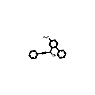 COc1ccc(-c2ccccc2)c(C(O)C#Cc2ccccc2)c1